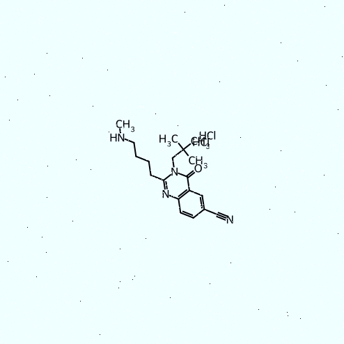 CNCCCCc1nc2ccc(C#N)cc2c(=O)n1CC(C)(C)C.Cl.Cl